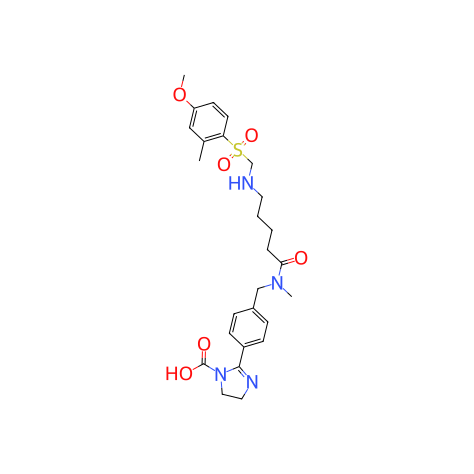 COc1ccc(S(=O)(=O)CNCCCCC(=O)N(C)Cc2ccc(C3=NCCN3C(=O)O)cc2)c(C)c1